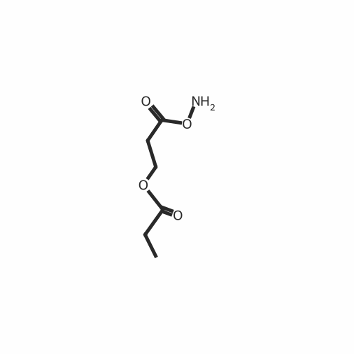 CCC(=O)OCCC(=O)ON